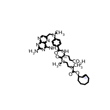 CN(CCN(C)C(=O)[C@H](CCC(=O)O)NC(=O)c1ccc(N(C)Cc2cnc3nc(N)nc(N)c3n2)cc1)C(=O)OC1/C=C/CCCCC1